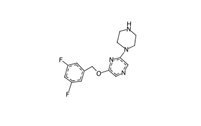 Fc1cc(F)cc(COc2cncc(N3CCNCC3)n2)c1